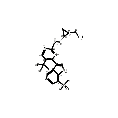 CP(C)(=O)c1cccc2c(-c3nc(NC[C@@H]4C[C@H]4CO)ncc3C(F)(F)F)c[nH]c12